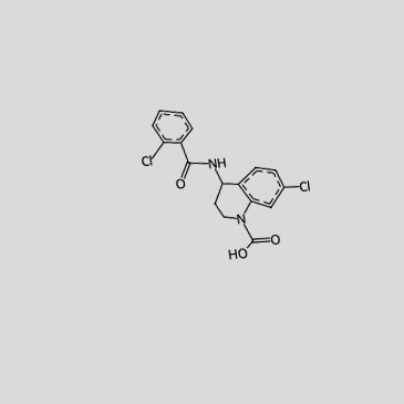 O=C(NC1CCN(C(=O)O)c2cc(Cl)ccc21)c1ccccc1Cl